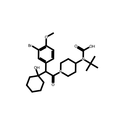 COc1ccc(C(C(=O)N2CCC(N(C(=O)O)C(C)(C)C)CC2)C2(O)CCCCC2)cc1Br